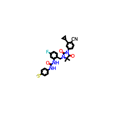 CC1(C)C(=O)N(c2ccc(C#N)c(C3CC3)c2)C(=O)N1Cc1ccc(F)cc1NC(=O)Nc1ccc([S])cc1